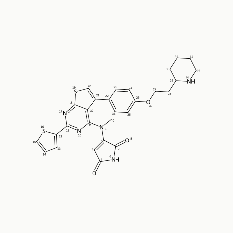 CN(C1=CC(=O)NC1=O)c1nc(-c2cccs2)nc2scc(-c3ccc(OCCC4CCCCN4)cc3)c12